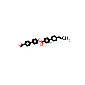 C/C=C/C1CCC(c2ccc(C(=O)Oc3ccc(-c4ccc(C5CO5)c(F)c4)cc3)c(F)c2F)CC1